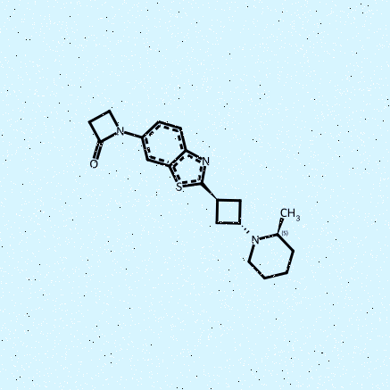 C[C@H]1CCCCN1[C@H]1C[C@H](c2nc3ccc(N4CCC4=O)cc3s2)C1